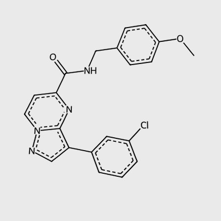 COc1ccc(CNC(=O)c2ccn3ncc(-c4cccc(Cl)c4)c3n2)cc1